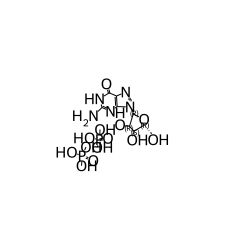 Nc1nc2c(ncn2[C@@H]2O[C@H](CO)[C@@H](O)[C@H]2O)c(=O)[nH]1.O=P(O)(O)O.O=P(O)(O)O